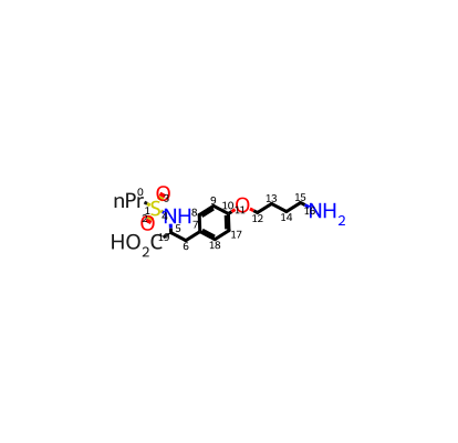 CCCS(=O)(=O)N[C@@H](Cc1ccc(OCCCCN)cc1)C(=O)O